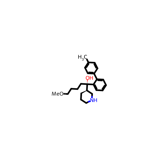 COCCCC[C@@](O)(c1ccccc1-c1ccc(C)cc1)[C@@H]1CCCNC1